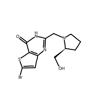 O=c1[nH]c(CN2CCC[C@H]2CO)nc2cc(Br)sc12